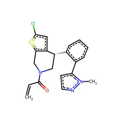 C=CC(=O)N1Cc2sc(Cl)cc2[C@H](c2ccccc2-c2ccnn2C)C1